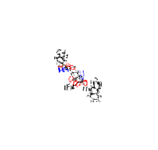 Cc1ccc(S(=O)(=O)NC(=O)CCC(NC(=O)OCC2c3ccccc3-c3ccccc32)C(=O)OC(C)(C)C)cc1